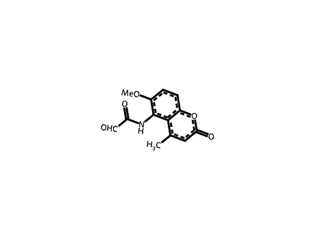 COc1ccc2oc(=O)cc(C)c2c1NC(=O)C=O